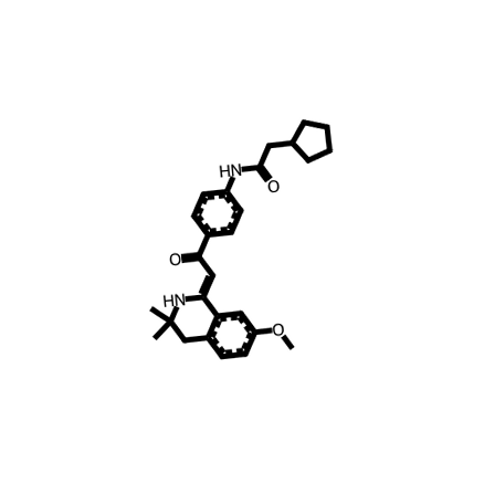 COc1ccc2c(c1)C(=CC(=O)c1ccc(NC(=O)CC3CCCC3)cc1)NC(C)(C)C2